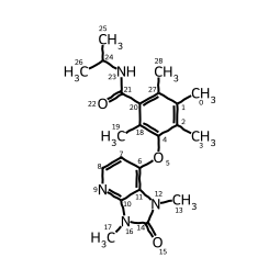 Cc1c(C)c(Oc2ccnc3c2n(C)c(=O)n3C)c(C)c(C(=O)NC(C)C)c1C